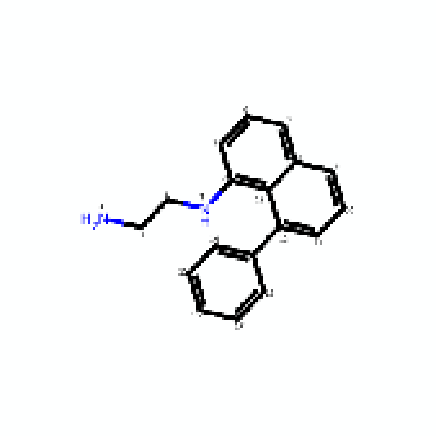 NCCNc1cccc2cccc(-c3ccccc3)c12